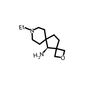 CCN1CCC2(CC1)CCC1(COC1)[C@H]2N